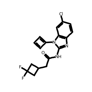 O=C(CC1CC(F)(F)C1)Nc1nc2ccc(Cl)cc2n1C1=CC=C1